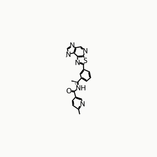 Cc1ccc(C(=O)N[C@@H](C)c2cccc(-c3nc4c(ncc5ncn(C)c54)s3)c2)cn1